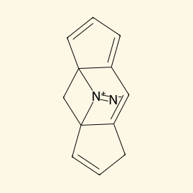 [N-]=[N+]1C23C=CC=C2C=C2CC=CC21C3